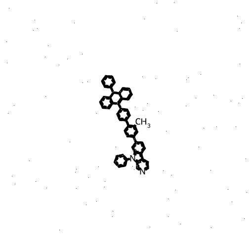 Cc1cc(-c2ccc3c4ccncc4n(-c4ccccc4)c3c2)ccc1-c1ccc(C2=C3C=CC=CC3C(c3ccccc3)c3ccccc32)cc1